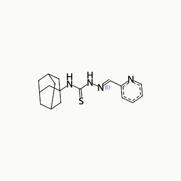 S=C(N/N=C/c1ccccn1)NC12CC3CC(CC(C3)C1)C2